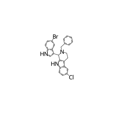 Clc1ccc2[nH]c3c(c2c1)CCN(Cc1ccccc1)C3c1c[nH]c2ccc(Br)cc12